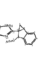 COC1c2ccccc2C2CC21C1=NCCN1